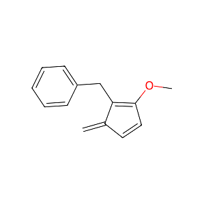 C=C1C=CC(OC)=C1Cc1ccccc1